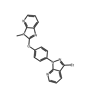 CCc1nn(-c2ccc(Oc3nc4cccnc4n3C)cc2)c2ncccc12